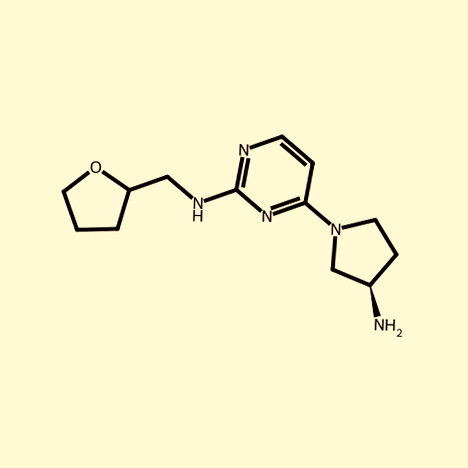 N[C@@H]1CCN(c2ccnc(NCC3CCCO3)n2)C1